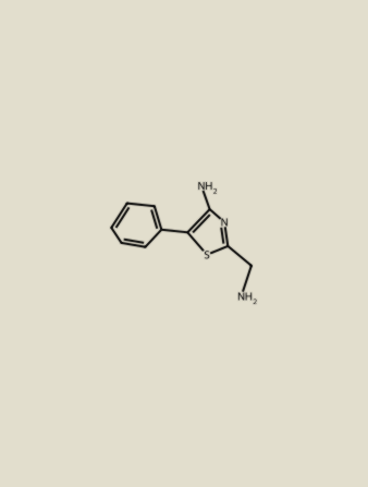 NCc1nc(N)c(-c2ccccc2)s1